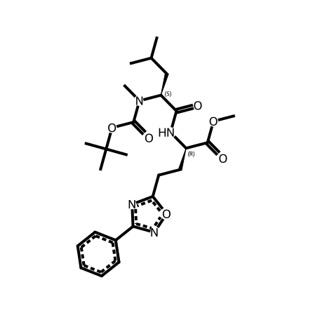 COC(=O)[C@@H](CCc1nc(-c2ccccc2)no1)NC(=O)[C@H](CC(C)C)N(C)C(=O)OC(C)(C)C